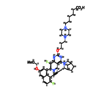 CC#Cc1c(F)ccc2cc(OCOC)cc(-c3ncc4c(N5CC6CCC(C6)C5)nc(OCCCN5CCN(CCCCCC(=O)O)CC5)nc4c3F)c12